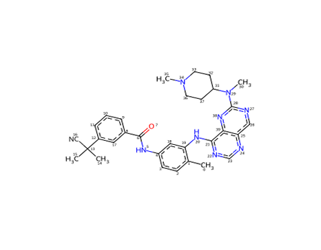 Cc1ccc(NC(=O)c2cccc(C(C)(C)C#N)c2)cc1Nc1ncnc2cnc(N(C)C3CCN(C)CC3)nc12